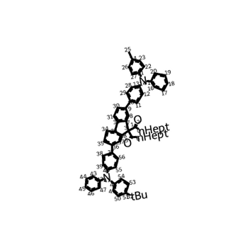 CCCCCCCC(=O)C1(C(=O)CCCCCCC)c2cc(-c3ccc(N(c4ccccc4)c4ccc(C)cc4)cc3)ccc2-c2ccc(-c3ccc(N(c4ccccc4)c4ccc(C(C)(C)C)cc4)cc3)cc21